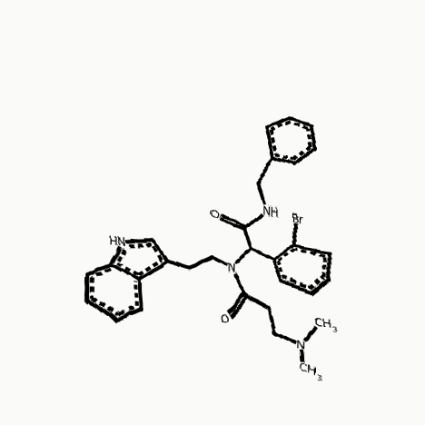 CN(C)CCC(=O)N(CCc1c[nH]c2ccccc12)C(C(=O)NCc1ccccc1)c1ccccc1Br